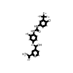 NC(=O)c1cc(C(O)Oc2ccc(NC(=O)Nc3ccc(Cl)c(C(F)(F)F)c3)c(F)c2)ccn1